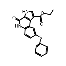 CCOC(=O)c1c[nH]c2c(=O)[nH]c3ccc(Sc4ccccc4)cc3c12